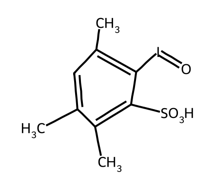 Cc1cc(C)c(I=O)c(S(=O)(=O)O)c1C